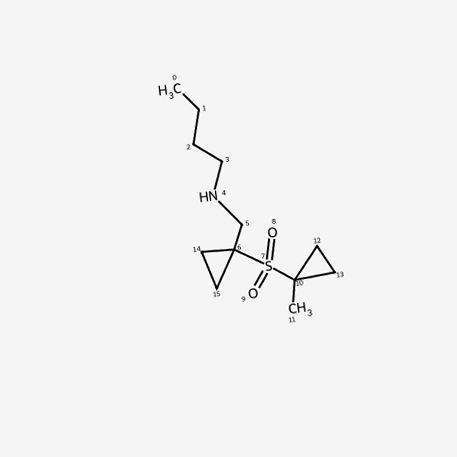 CCCCNCC1(S(=O)(=O)C2(C)CC2)CC1